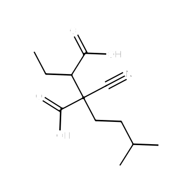 CCC(C(=O)O)C(C#N)(CCC(C)C)C(=O)O